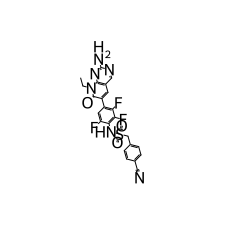 CCn1c(=O)c(-c2cc(F)c(NS(=O)(=O)Cc3ccc(C#N)cc3)c(F)c2F)cc2cnc(N)nc21